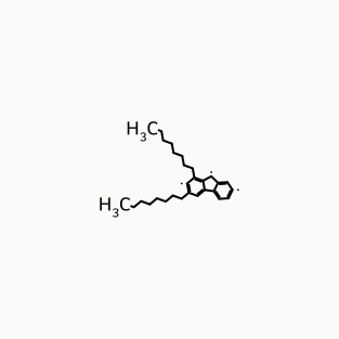 CCCCCCCCc1[c]c(CCCCCCCC)c2c(c1)-c1cc[c]cc1[CH]2